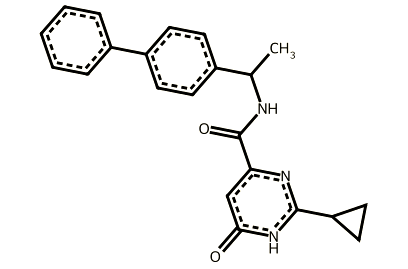 CC(NC(=O)c1cc(=O)[nH]c(C2CC2)n1)c1ccc(-c2ccccc2)cc1